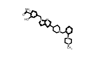 CN1CCN(c2ccccc2CN2CCC(c3cnc4c(ccn4Cc4ccc(C(N)=O)c(O)c4)c3)CC2)CC1